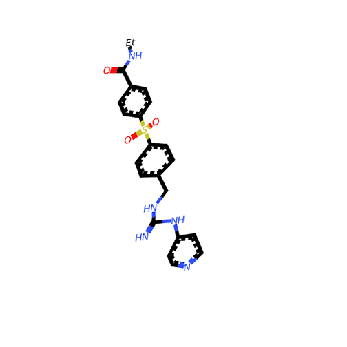 CCNC(=O)c1ccc(S(=O)(=O)c2ccc(CNC(=N)Nc3ccncc3)cc2)cc1